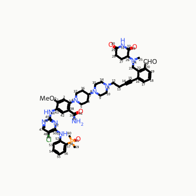 COc1cc(N2CCC(N3CCN(CCC#Cc4cccc(C=O)c4CN(C)C4CCC(=O)NC4=O)CC3)CC2)c(C(N)=O)cc1Nc1ncc(Cl)c(Nc2ccccc2P(C)(C)=O)n1